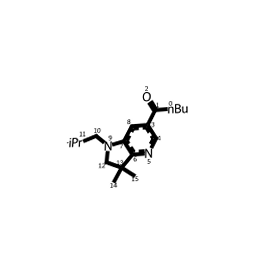 CCCCC(=O)c1cnc2c(c1)N(C[C](C)C)CC2(C)C